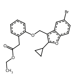 CCOC(=O)Cc1ccccc1OCc1c(C2CC2)oc2ccc(Br)cc12